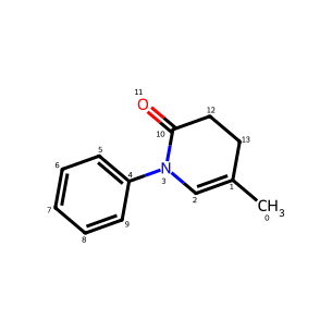 CC1=CN(c2ccccc2)C(=O)CC1